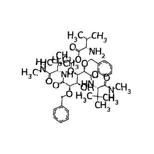 CNC(=O)[C@@H](NC(=O)[C@H](OCc1ccccc1)[C@H](O)[C@@H](OC(C)OC(=O)[C@@H](N)C(C)C)[C@@H](OCc1ccccc1)C(=O)N[C@H](C(=O)NC)C(C)(C)C)C(C)(C)C